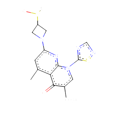 CC[S+]([O-])C1CN(c2cc(C)c3c(=O)c(C(=O)O)cn(-c4ncns4)c3n2)C1